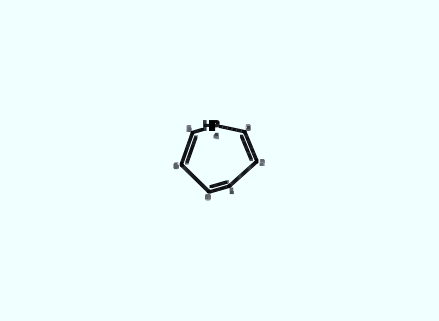 C1=CC=CPC=C1